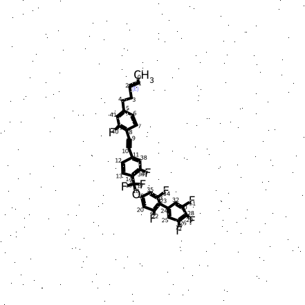 C/C=C/CCc1ccc(C#Cc2ccc(C(F)(F)Oc3cc(F)c(-c4cc(F)c(F)c(F)c4)c(F)c3)c(F)c2)c(F)c1